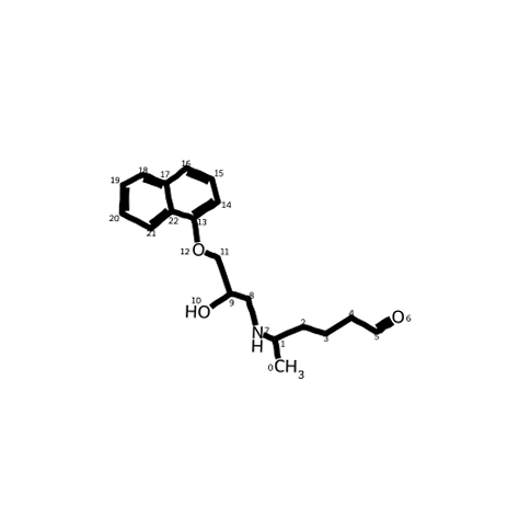 CC(CCC[C]=O)NCC(O)COc1cccc2ccccc12